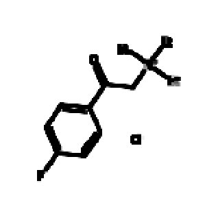 CC[N+](CC)(CC)CC(=O)c1ccc(F)cc1.[Cl-]